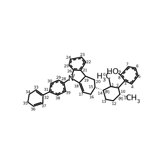 CC1C(c2ccccc2O)[C@H](C)CC[C@@H]1C1CC=C2C(C1)c1ccccc1N2c1ccc(C2=CCCC=C2)cc1